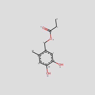 CCC(=O)OCc1cc(O)c(O)cc1C